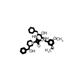 COc1cc(CNC[C@@H](O)[C@H](CC2CCCCC2)Nc2c(N3CCCC([C@H](O)c4ccccc4)C3)c(=O)c2=O)cc(OC)c1